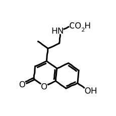 CC(CNC(=O)O)c1cc(=O)oc2cc(O)ccc12